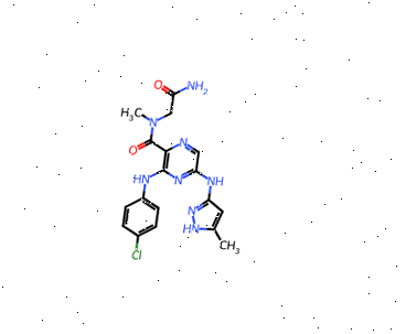 Cc1cc(Nc2cnc(C(=O)N(C)CC(N)=O)c(Nc3ccc(Cl)cc3)n2)n[nH]1